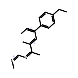 C\C=C(/C=C(C)/C(C)=N\C=N/C)c1ccc(CC)cc1